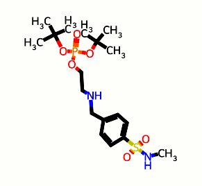 CNS(=O)(=O)c1ccc(CNCCOP(=O)(OC(C)(C)C)OC(C)(C)C)cc1